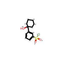 O=S(=O)(Cl)c1cccc(C2(O)CCCCC2)c1